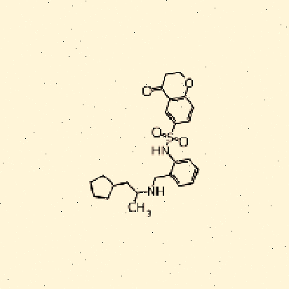 C[C@@H](CC1CCCC1)NCc1ccccc1NS(=O)(=O)c1ccc2c(c1)C(=O)CCO2